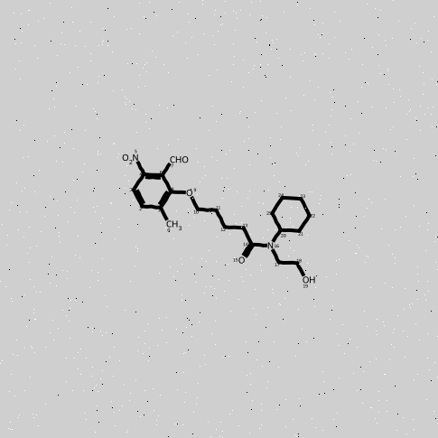 Cc1ccc([N+](=O)[O-])c(C=O)c1OCCCCC(=O)N(CCO)C1CCCCC1